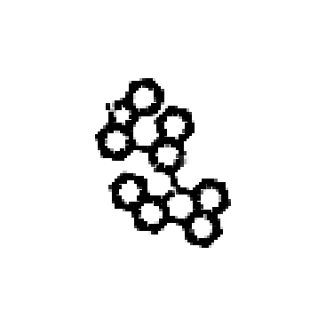 c1ccc2c3c(ccc2c1)-c1cccc2cccc(c12)N3c1nc(-c2cccc3oc4ccccc4c23)c2ccccc2n1